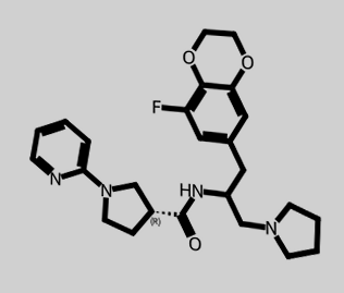 O=C(NC(Cc1cc(F)c2c(c1)OCCO2)CN1CCCC1)[C@@H]1CCN(c2ccccn2)C1